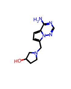 Nc1ncnn2c(CN3CCC(O)C3)ccc12